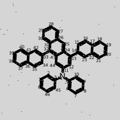 c1ccc(N(c2ccccc2)c2cc(-c3ccc4ccccc4c3)c3cc4ccccc4c(-c4ccc5ccccc5c4)c3c2)cc1